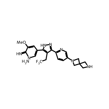 COc1cc(-c2[nH]nc(-c3ccc(N4CC5(CNC5)C4)cn3)c2CC(F)(F)F)cn(N)c1=N